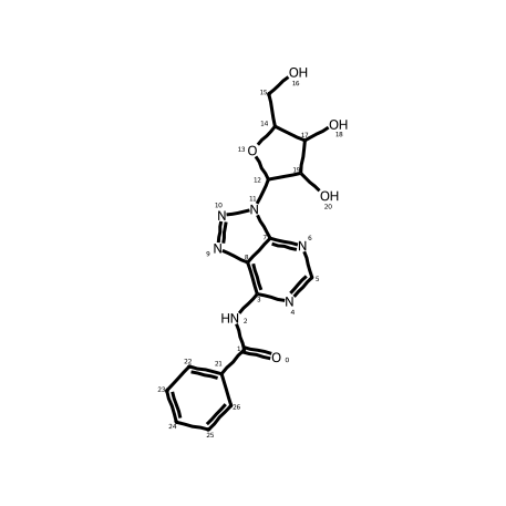 O=C(Nc1ncnc2c1nnn2C1OC(CO)C(O)C1O)c1ccccc1